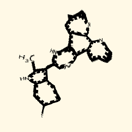 Cc1[nH]c2cc(F)ccc2c1-c1nc2c3cccnc3c3ncccc3c2[nH]1